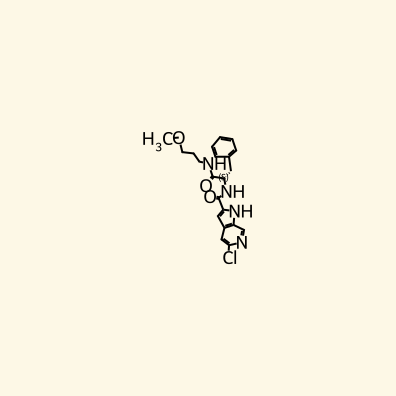 COCCCNC(=O)[C@H](Cc1ccccc1)NC(=O)c1cc2cc(Cl)ncc2[nH]1